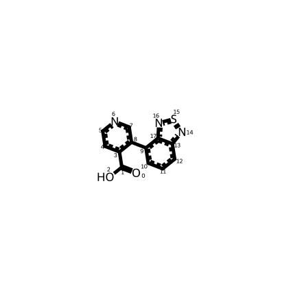 O=C(O)c1ccncc1-c1cccc2nsnc12